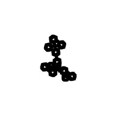 c1ccc(C2(c3ccc(-c4ccc(N(c5ccc6c(c5)oc5ccccc56)c5cccc6c5oc5ccccc56)cc4)cc3)c3ccccc3-c3ccccc32)cc1